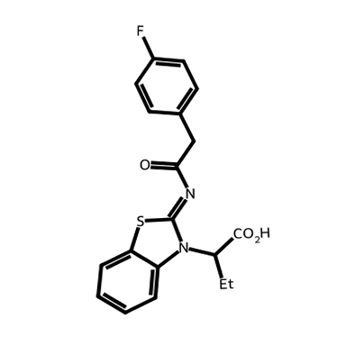 CCC(C(=O)O)n1c(=NC(=O)Cc2ccc(F)cc2)sc2ccccc21